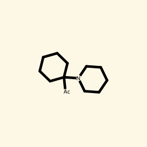 CC(=O)C1(N2CCCCC2)CCCCC1